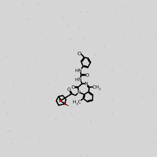 CC1=NC(NC(=O)Nc2cccc(Cl)c2)C(=O)N(CC(=O)N2CC3CCC(CC3)C2)c2c(C)cccc21